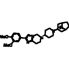 COc1ccc(-c2cn3c(n2)CC[C@@H](C2CCN(C4CC5CCC(C4)N5)CC2)C3)cc1OC